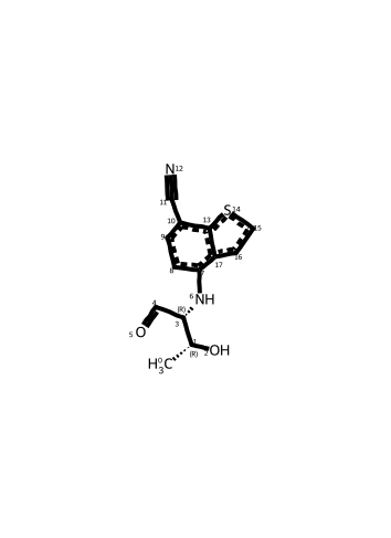 C[C@@H](O)[C@H](C=O)Nc1ccc(C#N)c2sccc12